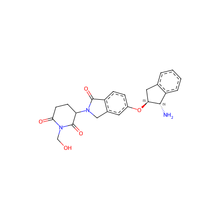 N[C@H]1c2ccccc2C[C@@H]1Oc1ccc2c(c1)CN(C1CCC(=O)N(CO)C1=O)C2=O